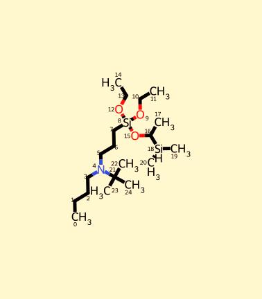 CCCCN(CCC[Si](OCC)(OCC)OC(C)[SiH](C)C)C(C)(C)C